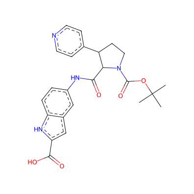 CC(C)(C)OC(=O)N1CCC(c2ccncc2)C1C(=O)Nc1ccc2[nH]c(C(=O)O)cc2c1